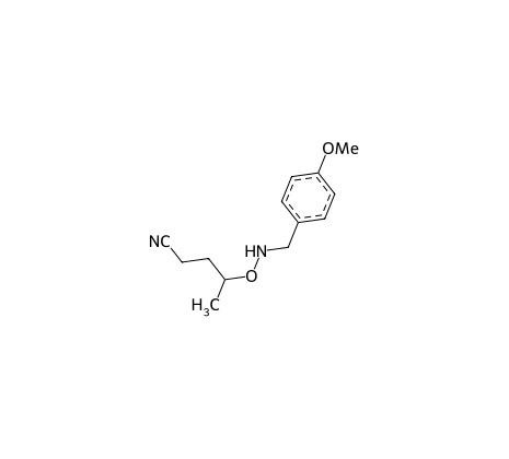 COc1ccc(CNOC(C)CCC#N)cc1